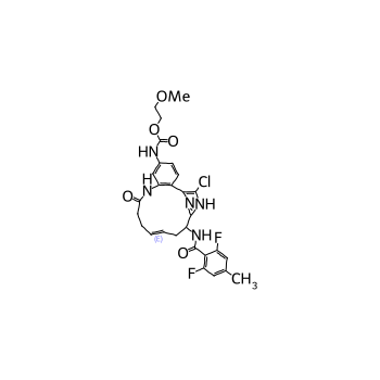 COCCOC(=O)Nc1ccc2c(c1)NC(=O)CC/C=C/CC(NC(=O)c1c(F)cc(C)cc1F)c1nc-2c(Cl)[nH]1